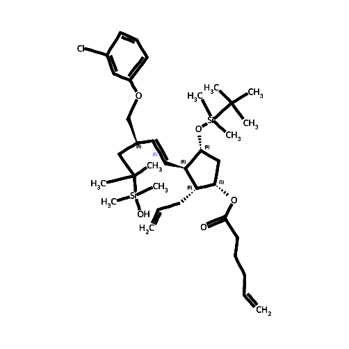 C=CCCCC(=O)O[C@H]1C[C@@H](O[Si](C)(C)C(C)(C)C)[C@H](/C=C/[C@H](COc2cccc(Cl)c2)CC(C)(C)[Si](C)(C)O)[C@H]1CC=C